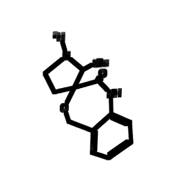 [2H]N1CCC2(OCc3ccccc3NC2=O)C1C(C)(C)C